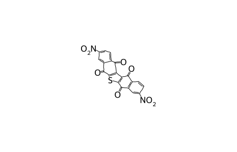 O=c1c2cc([N+](=O)[O-])ccc2c(=O)c2c1sc1c(=O)c3cc([N+](=O)[O-])ccc3c(=O)c12